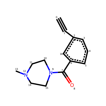 C#Cc1cccc(C(=O)N2CCN(C)CC2)c1